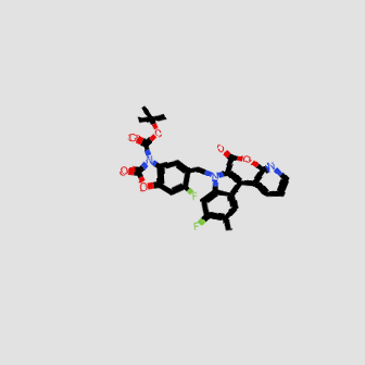 Cc1cc2c3c4cccnc4oc(=O)c3n(Cc3cc4c(cc3F)oc(=O)n4C(=O)OC(C)(C)C)c2cc1F